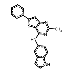 Cc1nc(Nc2ccc3[nH]ccc3c2)c2sc(-c3ccccc3)cc2n1